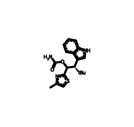 Cc1csc(C(OC(N)=O)[C@H](c2c[nH]c3ccccc23)C(C)(C)C)n1